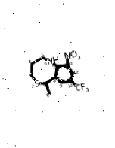 CC1SCCCNc2c1cc(C(F)(F)F)cc2[N+](=O)[O-]